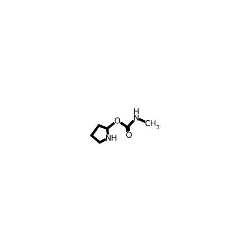 CNC(=O)OC1CCCN1